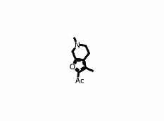 CC(=O)c1oc2c(c1C)CCN(C)C2